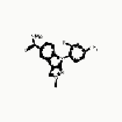 CNC(=O)c1ccc2c(c1)c1cn(C)nc1n2-c1ccc(C(F)(F)F)cc1F